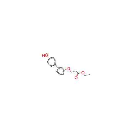 CCOC(=O)CCOc1cccc(-c2ccc(O)cc2)c1